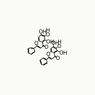 O=c1cc(-c2ccccc2)oc2cc(O)c(O)c(O)c12.O=c1cc(-c2ccccc2)oc2cc(O)c(O)c(O)c12